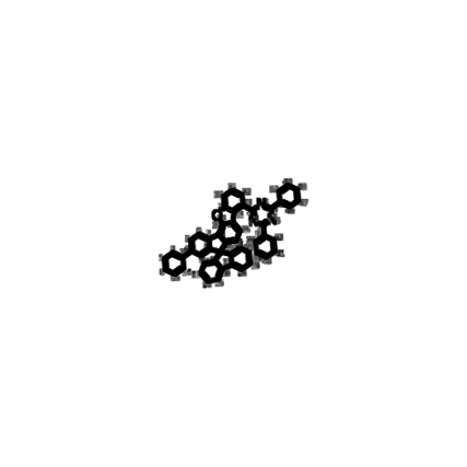 c1ccc(-c2ccc3c(c2)C2(c4ccccc4-c4ccccc42)c2ccc4c(oc5cccc(-c6nc(-c7ccccc7)nc(-c7ccccc7)n6)c54)c2-3)cc1